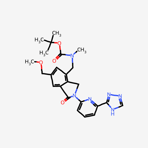 COCc1cc(CN(C)C(=O)OC(C)(C)C)c2c(c1)C(=O)N(c1cccc(-c3nnc[nH]3)n1)C2